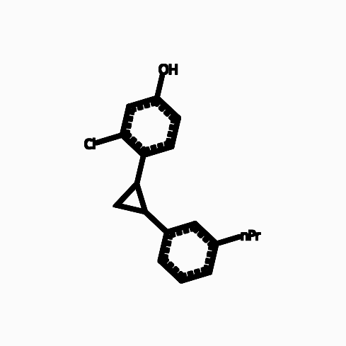 CCCc1cccc(C2CC2c2ccc(O)cc2Cl)c1